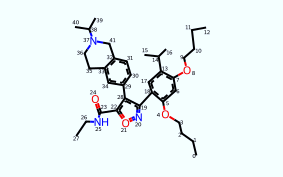 CCCCOc1cc(OCCCC)c(C(C)C)cc1-c1noc(C(=O)NCC)c1-c1ccc2c(c1)CCN(C(C)C)C2